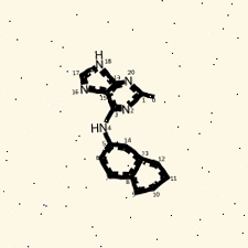 Cc1nc(Nc2ccc3ccccc3c2)c2nc[nH]c2n1